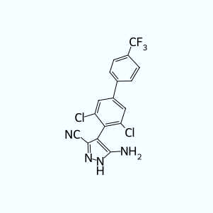 N#Cc1n[nH]c(N)c1-c1c(Cl)cc(-c2ccc(C(F)(F)F)cc2)cc1Cl